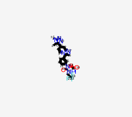 Cc1c(-c2ccn3c(-c4cccc(N(OC=O)C(=O)NCC(F)(F)F)c4)cnc3c2)nnn1C